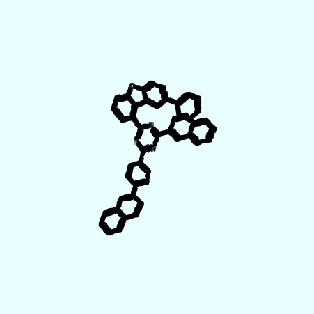 C1=CCCC(c2ccc3oc4cccc(-c5nc(-c6ccc(-c7ccc8ccccc8c7)cc6)nc(-c6ccc7ccccc7c6)n5)c4c3c2)=C1